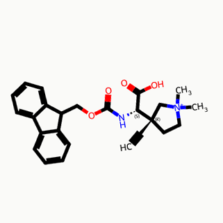 C#C[C@]1([C@H](NC(=O)OCC2c3ccccc3-c3ccccc32)C(=O)O)CC[N+](C)(C)C1